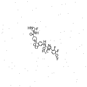 Cn1c(-c2ccc(OCF)c(F)c2F)cnc1C(=O)Nc1ccc(C(=O)N2CCC(C(=O)N[C@H]3CNCC3F)CC2)c(Cl)c1